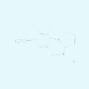 Cc1c(N2CCCC2C(=O)O)ccc(C#N)c1Cl